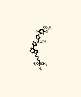 C[Si](C)(C)CCOCn1ccc2c(-c3cnn([C@@H](CC#N)[C@H]4CCN(c5nc(Cl)c(C(=O)O)cc5F)C4)c3)ncnc21